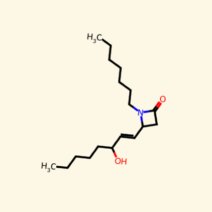 CCCCCCCN1C(=O)CC1/C=C/C(O)CCCCC